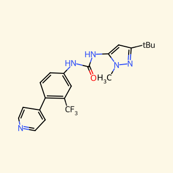 Cn1nc(C(C)(C)C)cc1NC(=O)Nc1ccc(-c2ccncc2)c(C(F)(F)F)c1